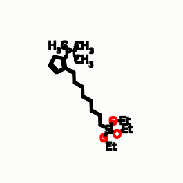 CCO[Si](CCCCCCCCC1=[C]([Pt]([CH3])([CH3])[CH3])CC=C1)(OCC)OCC